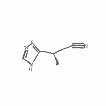 C[C@H](CC#N)c1nnc[nH]1